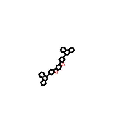 c1ccc2c(c1)cc(-c1ccc3c(c1)oc1cc4oc5cc(-c6cc7ccccc7c7ccccc67)ccc5c4cc13)c1ccccc12